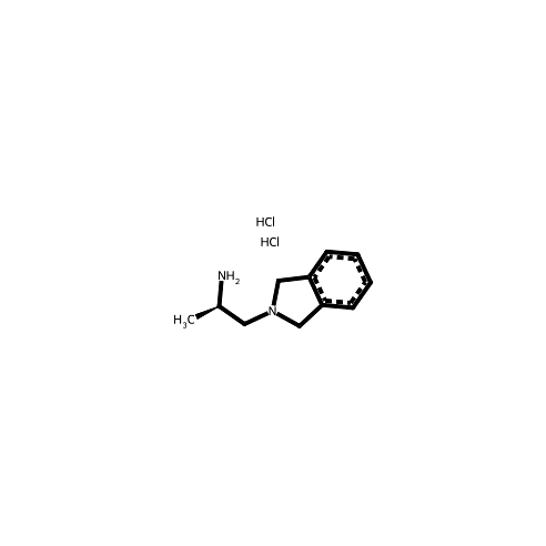 C[C@@H](N)CN1Cc2ccccc2C1.Cl.Cl